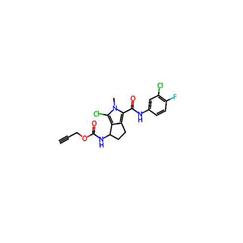 C#CCOC(=O)NC1CCc2c1c(Cl)n(C)c2C(=O)Nc1ccc(F)c(Cl)c1